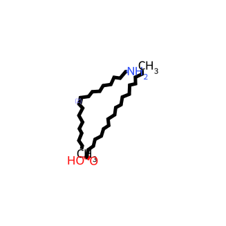 CCCCCCCC/C=C\CCCCCCCCN.CCCCCCCCCCCCCCCCCC(=O)O